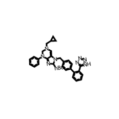 CCCCC1N=C2C(=CN(CC3CC3)CN2c2ccccc2)N1Cc1ccc(-c2ccccc2-c2nnn[nH]2)cc1